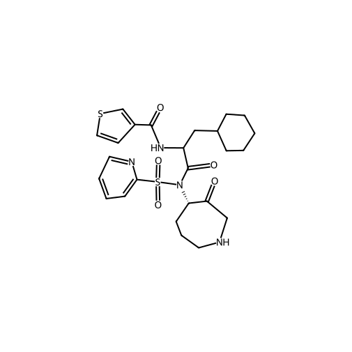 O=C(NC(CC1CCCCC1)C(=O)N([C@H]1CCCNCC1=O)S(=O)(=O)c1ccccn1)c1ccsc1